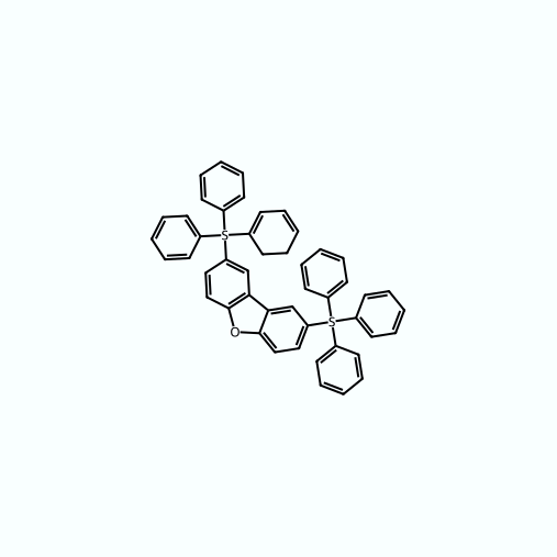 C1=CCCC(S(c2ccccc2)(c2ccccc2)c2ccc3oc4ccc(S(c5ccccc5)(c5ccccc5)c5ccccc5)cc4c3c2)=C1